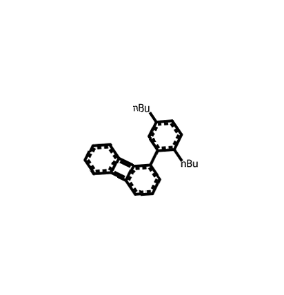 CCCCc1ccc(CCCC)c(-c2cccc3c2=c2ccccc2=3)c1